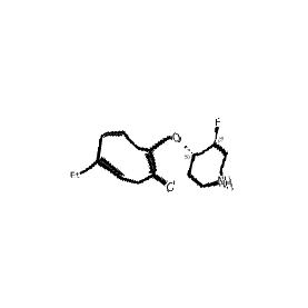 CCc1ccc(O[C@H]2CCNC[C@@H]2F)c(Cl)c1